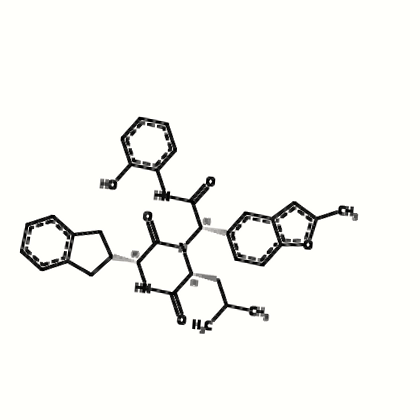 Cc1cc2cc([C@@H](C(=O)Nc3ccccc3O)N3C(=O)[C@@H](C4Cc5ccccc5C4)NC(=O)[C@H]3CC(C)C)ccc2o1